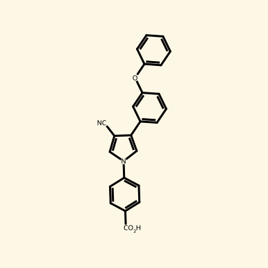 N#Cc1cn(-c2ccc(C(=O)O)cc2)cc1-c1cccc(Oc2ccccc2)c1